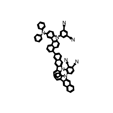 N#Cc1cc(C#N)cc(-n2c3ccc(N(c4ccccc4)c4ccccc4)cc3c3c4cccc(-c5ccc6cc7c(cc6c5)c5ccccc5n7-c5c(-n6c7ccccc7c7cc8ccccc8cc76)ccc(C#N)c5C#N)c4ccc32)c1